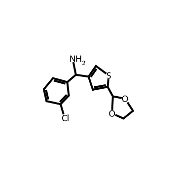 NC(c1cccc(Cl)c1)c1csc(C2OCCO2)c1